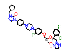 C[C@](Cn1nccn1)(O[C@@H](CO)COc1ccc(N2CCN(c3ccc(-n4cnn(CC5CCCC5)c4=O)cc3)CC2)c(F)c1)c1ccc(Cl)cc1Cl